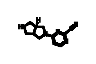 N#Cc1nccc(N2CC3CNC[C@@H]3C2)n1